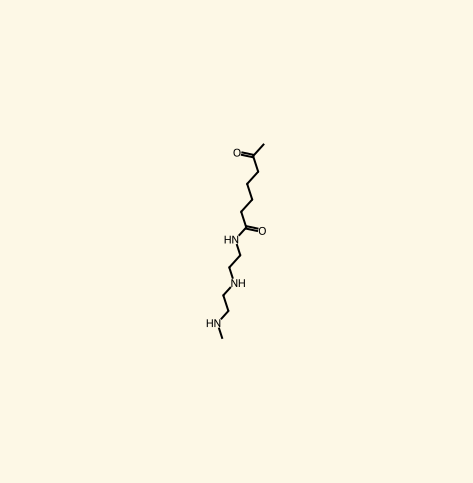 CNCCNCCNC(=O)CCCCC(C)=O